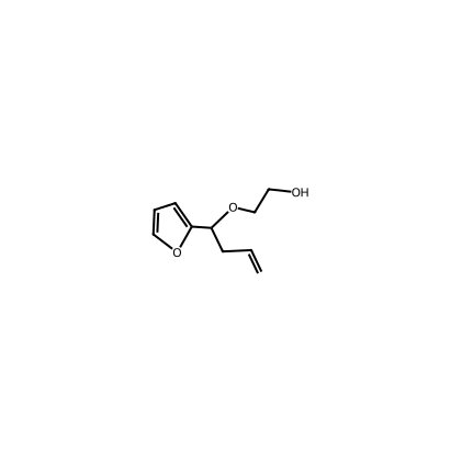 C=CCC(OCCO)c1ccco1